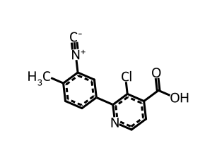 [C-]#[N+]c1cc(-c2nccc(C(=O)O)c2Cl)ccc1C